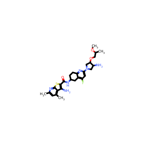 COC(C)COC1CN(c2cc(F)c3c(n2)CCC(NC(=O)c2sc4nc(C)cc(C)c4c2N)C3)CC1N